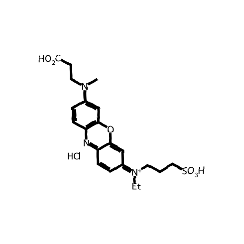 CC[N+](CCCS(=O)(=O)O)=c1ccc2nc3ccc(N(C)CCC(=O)O)cc3oc-2c1.Cl